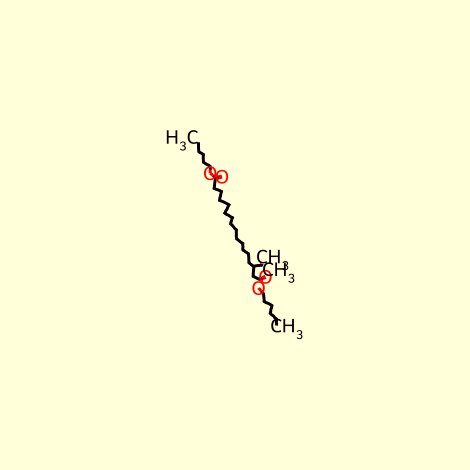 CCCCCCOC(=O)CCCCCCCCCCCCCC(CC(=O)OCCCCCC)C(C)C